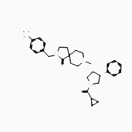 CS(=O)(=O)c1ccc(CN2CCC3(CCN(C[C@H]4CN(C(=O)C5CC5)C[C@@H]4c4ccccc4)CC3)C2=O)cc1